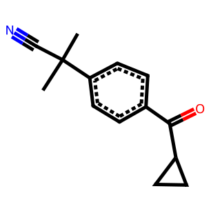 CC(C)(C#N)c1ccc(C(=O)C2CC2)cc1